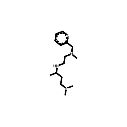 CC(CCN(C)C)NCCN(C)Cc1ccccn1